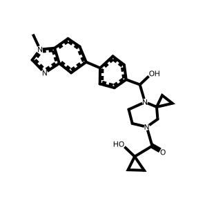 Cn1cnc2cc(-c3ccc(C(O)N4CCN(C(=O)C5(O)CC5)CC45CC5)cc3)ccc21